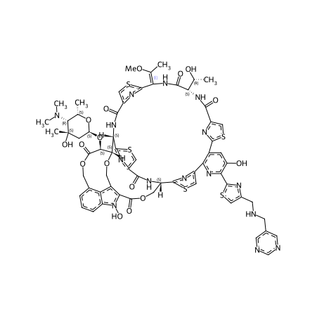 CO/C(C)=C1/NC(=O)[C@H]([C@@H](C)O)NC(=O)c2csc(n2)-c2cc(O)c(-c3nc(CNCc4cncnc4)cs3)nc2-c2csc(n2)[C@@H]2COC(=O)c3c4c5c(cccc5n3O)COC(=O)[C@@H](O[C@H]3C[C@](C)(O)[C@H](N(C)C)[C@H](C)O3)[C@@H](OC4)[C@H](NC(=O)c3csc1n3)c1nc(cs1)C(=O)N2